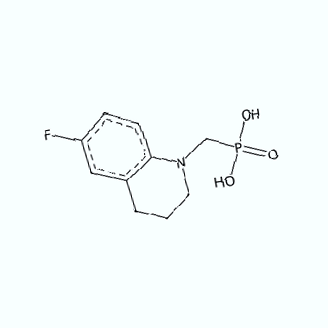 O=P(O)(O)CN1CCCc2cc(F)ccc21